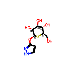 OC[C@H]1S[C@@H](Oc2cc[nH]n2)[C@H](O)[C@@H](O)[C@@H]1O